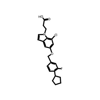 O=C(O)CCn1ccc2cc(OCc3ccc(C4CCCC4)c(F)c3)cc(Cl)c21